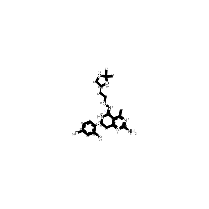 Cc1nc(N)nc2c1/C(=N/OCC[C@H]1COC(C)(C)O1)N[C@@H](c1ccc(F)cc1Br)C2